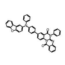 O=c1c2cc(-c3ccc(N(c4ccccc4)c4ccc5oc6ccccc6c5c4)cc3)ccc2n2c(=O)c3ccccc3nc2n1-c1ccccc1